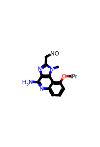 CC(C)Oc1cccc2nc(N)c3nc(CN=O)n(C)c3c12